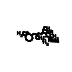 C=C/C(=C\C=C(/C)CC1CCCCC[C@@]2(C)CC12)C(=N)/C(C)=C(\C)NC